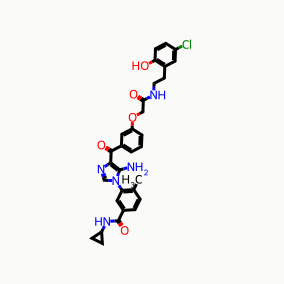 Cc1ccc(C(=O)NC2CC2)cc1-n1cnc(C(=O)c2cccc(OCC(=O)NCCc3cc(Cl)ccc3O)c2)c1N